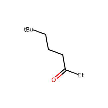 CCC(=O)CCCC(C)(C)C